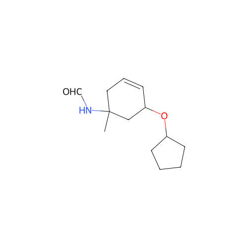 CC1(NC=O)CC=CC(OC2CCCC2)C1